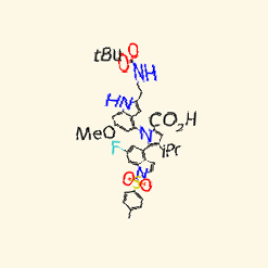 COc1cc(-n2c(C(=O)O)cc(C(C)C)c2-c2cc(F)cc3c2ccn3S(=O)(=O)c2ccc(C)cc2)c2cc(CCNC(=O)OC(C)(C)C)[nH]c2c1